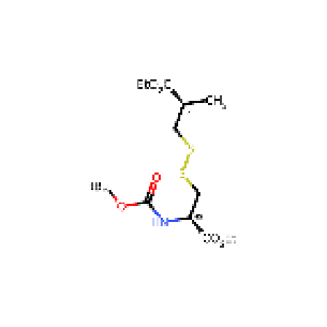 CCOC(=O)[C@H](CSSC[C@H](C)C(=O)OCC)NC(=O)OC(C)(C)C